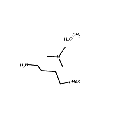 CCCCCCCCCCN.CN(C)C.O.O